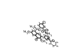 Cc1cc([C@@H](C)Oc2ccc(Cl)nc2S(N)(=O)=O)c2oc(-c3cnn(C4CCCCO4)c3)c(C)c(=O)c2c1